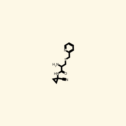 N#CC1(NC(=O)C(N)CSCc2ccccn2)CC1